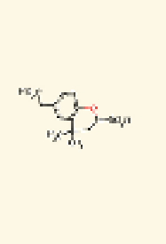 CC1(C)CC(S(=O)(=O)O)Oc2ccc(CC(=O)O)cc21